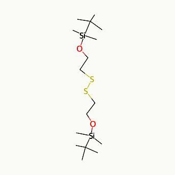 CC(C)(C)[Si](C)(C)OCCSSCCO[Si](C)(C)C(C)(C)C